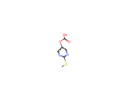 CSc1ncc(OC(=O)O)cn1